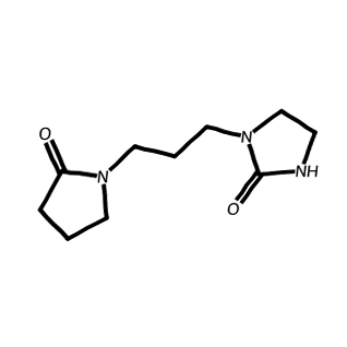 O=C1CCCN1CCCN1CCNC1=O